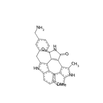 COc1ccc2[nH]c(Cc3cccc(CN)c3)c(C3=C(c4c(C)[nH]c5ccccc45)C(=O)NC3=O)c2c1